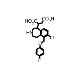 O=C(O)CC(C(=O)O)C1CNCCc2c1ccc(Cl)c2COc1ccc(F)cc1